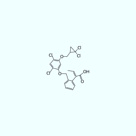 C/C=C(/C(=O)O)c1ccccc1COc1cc(OCC2CC2(Cl)Cl)c(Cl)cc1Cl